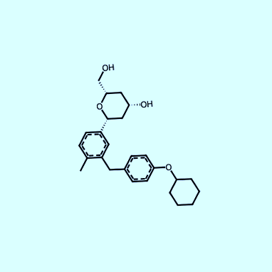 Cc1ccc([C@H]2C[C@@H](O)C[C@@H](CO)O2)cc1Cc1ccc(OC2CCCCC2)cc1